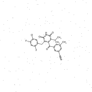 Cc1cc(C#N)cc(C(=O)c2c(C(C)C)c(=O)[nH]c(=O)n2Cc2cc(Cl)c(F)cc2F)c1